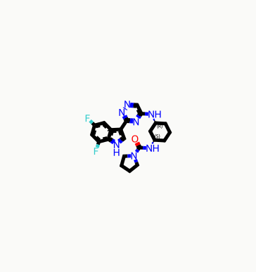 O=C(N[C@H]1CCC[C@@H](Nc2cnnc(-c3c[nH]c4c(F)cc(F)cc34)n2)C1)N1CCCC1